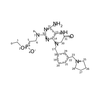 CCO/[P+]([O-])=C/CN(C)c1nc(N)c2c(n1)N(Cc1cccc(CN3CCCC3)c1)CC(=O)N2